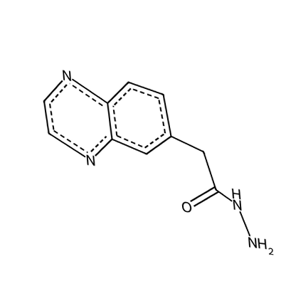 NNC(=O)Cc1ccc2nccnc2c1